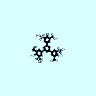 O=C(O)c1cc(-c2cc(-c3cc(C(=O)O)c(O)c(S(=O)(=O)O)c3)cc(-c3cc(C(=O)O)c(O)c(S(=O)(=O)O)c3)c2)cc(S(=O)(=O)O)c1O